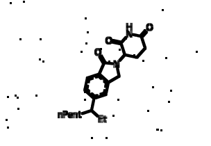 CCCCCC(CC)c1ccc2c(c1)CN(C1CCC(=O)NC1=O)C2=O